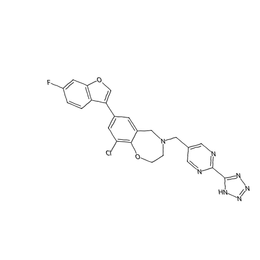 Fc1ccc2c(-c3cc(Cl)c4c(c3)CN(Cc3cnc(-c5nnn[nH]5)nc3)CCO4)coc2c1